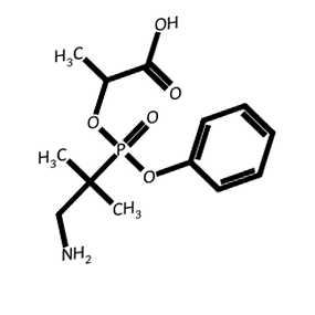 CC(OP(=O)(Oc1ccccc1)C(C)(C)CN)C(=O)O